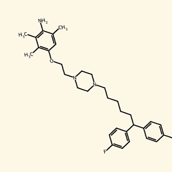 Cc1cc(OCCN2CCN(CCCCCC(c3ccc(F)cc3)c3ccc(F)cc3)CC2)c(C)c(C)c1N